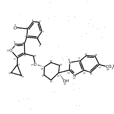 Cc1cccc(Cl)c1-c1noc(C2CC2)c1CO[C@H]1CC[C@](O)(c2nc3cc(C(=O)O)ccc3s2)CC1